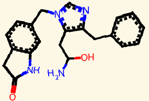 NC(O)Cc1c(Cc2ccccc2)ncn1Cc1ccc2c(c1)NC(=O)C2